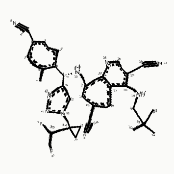 Cc1cc(C#N)ccc1[C@H](Nc1cc(C#N)cc2c(NCC(C)(C)C)c(C#N)cnc12)c1cn(C2(C(F)F)CC2)nn1